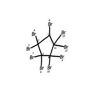 BrC1C(Br)(Br)C(Br)(Br)C(Br)(Br)C1(Br)Br